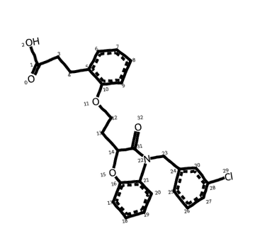 O=C(O)CCc1ccccc1OCCC1Oc2ccccc2N(Cc2cccc(Cl)c2)C1=O